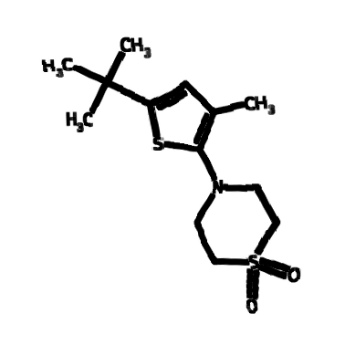 Cc1cc(C(C)(C)C)sc1N1CCS(=O)(=O)CC1